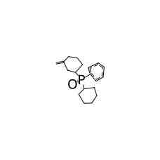 C=C1CCCC(P(=O)(c2ccccc2)C2CCCCC2)C1